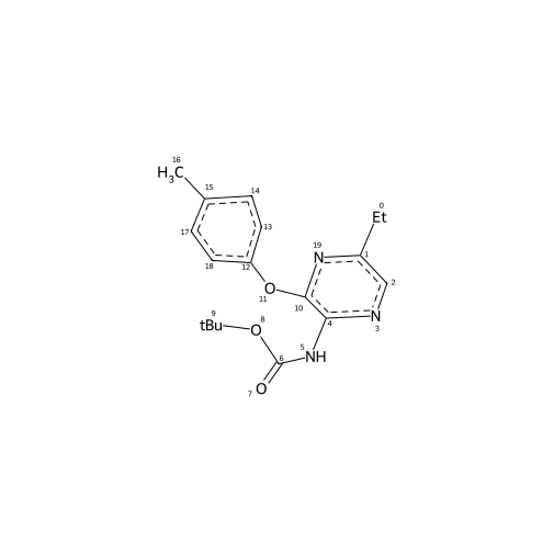 CCc1cnc(NC(=O)OC(C)(C)C)c(Oc2ccc(C)cc2)n1